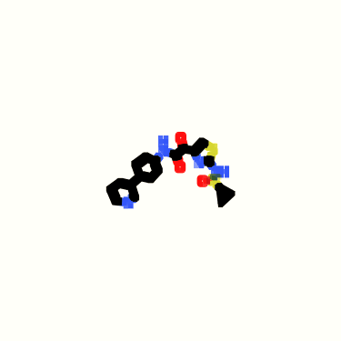 O=C(Nc1ccc(-c2cccnc2)cc1)C(=O)c1csc(N[S+]([O-])C2CC2)n1